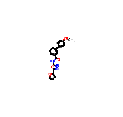 COc1ccc(-c2cccc(C(=O)Nc3nnc(-c4ccco4)o3)c2)cc1